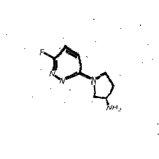 N[C@@H]1CCN(c2ccc(F)nn2)C1